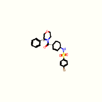 O=C([C@H]1CC[C@H](NS(=O)(=O)c2ccc(Br)cc2)CC1)N1CCOC[C@H]1c1ccccc1